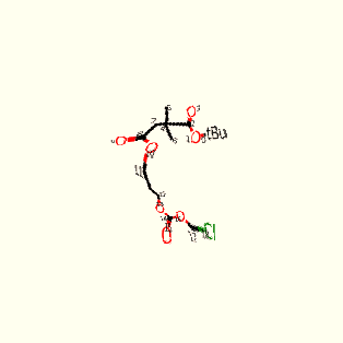 CC(C)(C)OC(=O)C(C)(C)CC(=O)OCCOC(=O)OCCl